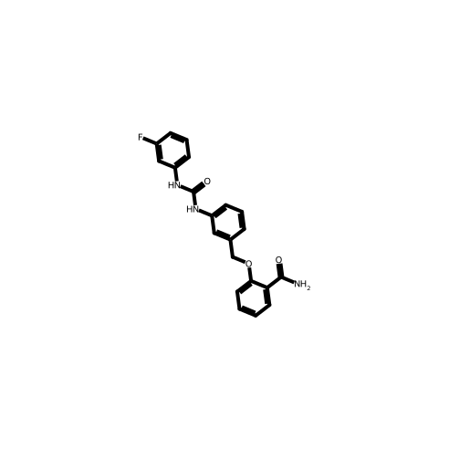 NC(=O)c1ccccc1OCc1cccc(NC(=O)Nc2cccc(F)c2)c1